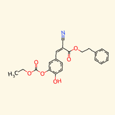 CCOC(=O)Oc1cc(C=C(C#N)C(=O)OCCc2ccccc2)ccc1O